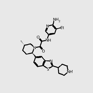 CCc1cc(NC(=O)C(=O)N2C[C@@H](C)CC[C@@H]2c2ccc3sc(C4CCNCC4)nc3c2)cnc1N